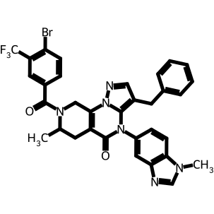 CC1Cc2c(n3ncc(Cc4ccccc4)c3n(-c3ccc4c(c3)ncn4C)c2=O)CN1C(=O)c1ccc(Br)c(C(F)(F)F)c1